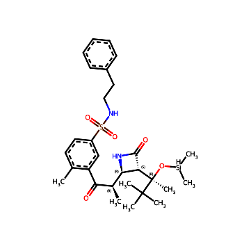 Cc1ccc(S(=O)(=O)NCCc2ccccc2)cc1C(=O)[C@H](C)[C@H]1NC(=O)[C@@H]1[C@@](C)(O[SiH](C)C)C(C)(C)C